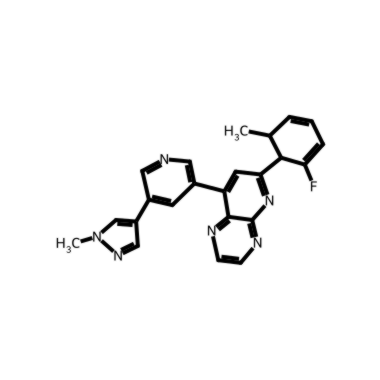 CC1C=CC=C(F)C1c1cc(-c2cncc(-c3cnn(C)c3)c2)c2nccnc2n1